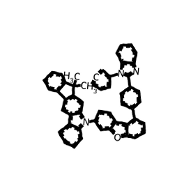 CC1(C)c2ccccc2-c2cc3c4ccccc4n(-c4ccc5c(c4)oc4cccc(-c6ccc(-c7nc8ccccc8n7-c7ccccc7)cc6)c45)c3cc21